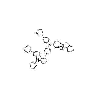 c1ccc(-c2ccc(N(c3ccc(-c4cccc5c4c4ccc(-c6ccccc6)cc4n5-c4ccccc4)cc3)c3ccc4c(c3)oc3c5ccccc5ccc43)cc2)cc1